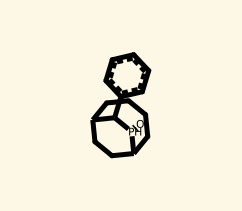 O=[PH]1C2CCCCC(CC2)C1c1ccccc1